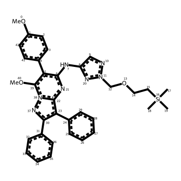 COc1ccc(-c2c(Nc3cnn(COCC[Si](C)(C)C)n3)nc3c(-c4ccccc4)c(-c4ccccc4)nn3c2OC)cc1